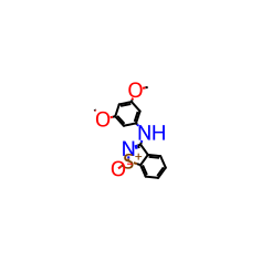 COc1cc(Nc2n[s+]([O-])c3ccccc23)cc(OC)c1